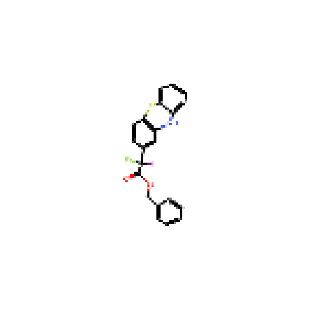 O=C(OCc1ccccc1)C(F)(I)c1ccc2c(c1)Nc1ccccc1S2